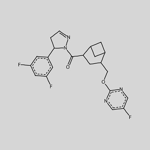 O=C(C1CC(COc2ncc(F)cn2)C2CC1C2)N1N=CCC1c1cc(F)cc(F)c1